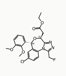 CCOC(=O)C[C@@H]1O[C@@H](c2cccc(OC)c2OC)c2cc(Cl)ccc2-n2c(CF)nnc21